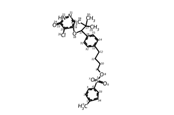 Cc1ccc(S(=O)(=O)OCCCCc2ccc(C(Oc3cn[nH]c(=O)c3Cl)C(C)(C)C)cc2)cc1